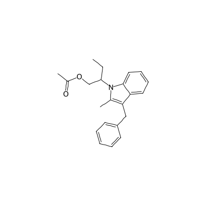 CCC(COC(C)=O)n1c(C)c(Cc2ccccc2)c2ccccc21